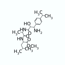 COC(=O)C(CC(C)C)NC(=O)C(C)NC(=O)C(O)C(N)c1ccc(C(C)C)cc1